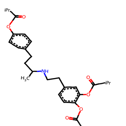 CC(CCc1ccc(OC(=O)C(C)C)cc1)NCCc1ccc(OC(=O)C(C)C)c(OC(=O)C(C)C)c1